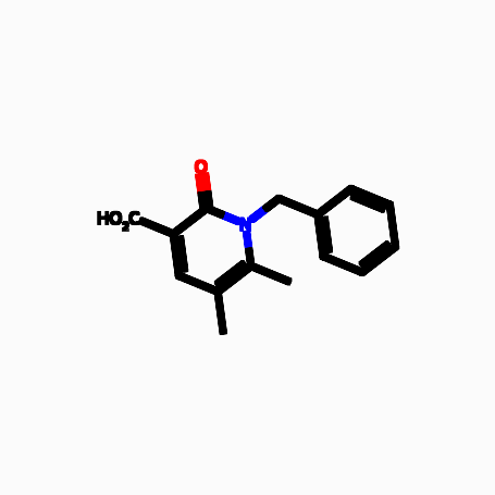 Cc1cc(C(=O)O)c(=O)n(Cc2ccccc2)c1C